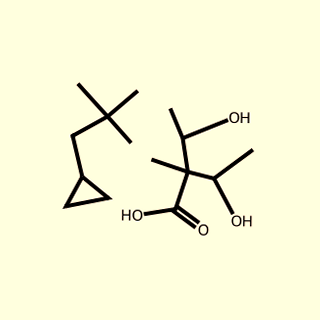 CC(C)(C)CC1CC1.CC(O)C(C)(C(=O)O)C(C)O